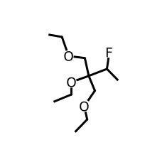 CCOCC(COCC)(OCC)C(C)F